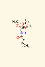 C=CCC(=O)NC[Si](OC)(OC)OC